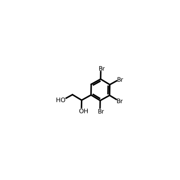 OCC(O)c1cc(Br)c(Br)c(Br)c1Br